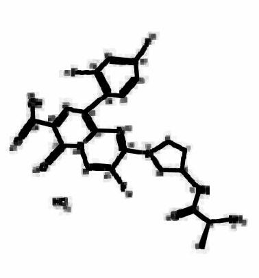 C[C@H](N)C(=O)NC1CCN(c2nc3c(-c4ccc(F)cc4F)cc(C(=O)O)c(=O)n3cc2F)C1.Cl